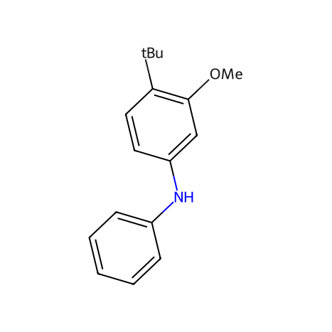 COc1cc(Nc2ccccc2)ccc1C(C)(C)C